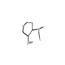 COC1COCCC1N(C)I